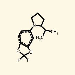 CC(C)C1CCCN1c1ccc2c(c1)OC(F)(F)O2